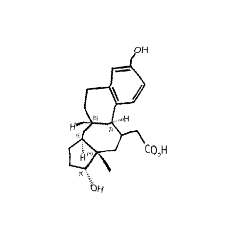 C[C@]12CC(CC(=O)O)[C@@H]3c4ccc(O)cc4CC[C@H]3[C@@H]1CC[C@H]2O